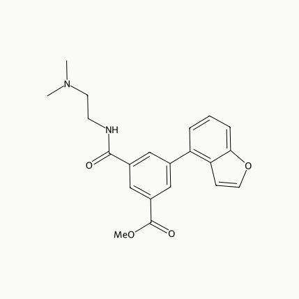 COC(=O)c1cc(C(=O)NCCN(C)C)cc(-c2cccc3occc23)c1